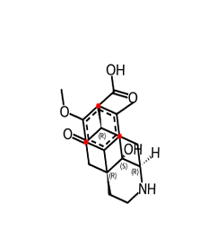 COc1cc(C)c2c(c1)[C@]13CCN[C@H](C2)[C@]1(O)C[C@H](CC(=O)O)C(=O)C3